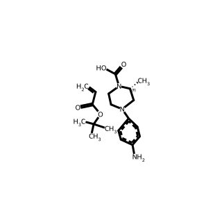 C=CC(=O)OC(C)(C)C.C[C@@H]1CN(c2ccc(N)cc2)CCN1C(=O)O